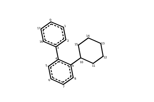 c1ccc(-c2ccccc2C2CCCCC2)cc1